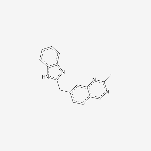 Cc1ncc2ccc(Cc3nc4ccccc4[nH]3)cc2n1